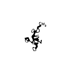 CCCOC(=O)c1cc2c(nc(CCl)n2C[C@@H]2CCO2)s1